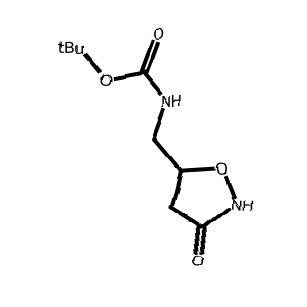 CC(C)(C)OC(=O)NCC1CC(=O)NO1